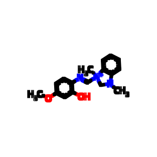 COc1ccc(N=C[N+]2(C)CN(C)c3ccccc32)c(O)c1